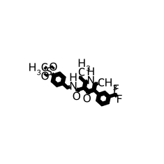 CCc1[nH]c(C)c(-c2cccc(C(F)F)c2)c(=O)c1C(=O)NCc1ccc(S(C)(=O)=O)cc1